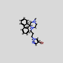 CN1CCN(CCCn2cc(Br)cn2)C(c2ccccc2)(c2ccccc2)C1